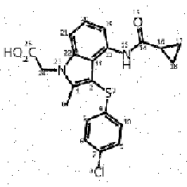 Cc1c(Sc2ccc(Cl)cc2)c2c(NC(=O)C3CC3)cccc2n1CC(=O)O